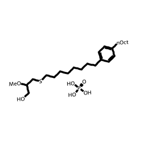 CCCCCCCCc1ccc(CCCCCCCCSCC(CO)OC)cc1.O=P(O)(O)O